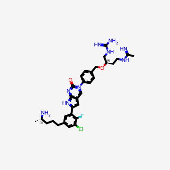 CC(=N)NCC[C@H](CNC(=N)N)OCc1ccc(-n2cc3cc(-c4cc(CCC[C@H](C)N)cc(Cl)c4F)[nH]c3nc2=O)cc1